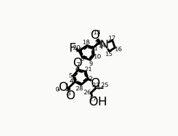 COC(=O)c1cc(Oc2ccc(C(=O)N3CCC3)cc2F)cc(O[C@@H](C)CO)c1